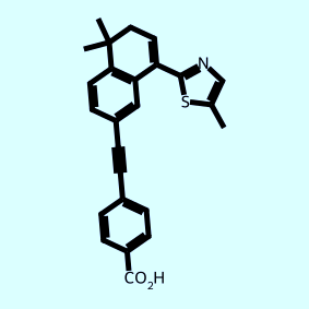 Cc1cnc(C2=CCC(C)(C)c3ccc(C#Cc4ccc(C(=O)O)cc4)cc32)s1